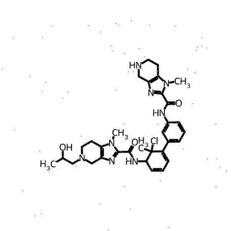 CC(O)CN1CCc2c(nc(C(=O)NC3C=CC=C(c4cccc(NC(=O)c5nc6c(n5C)CCNC6)c4)C3(C)Cl)n2C)C1